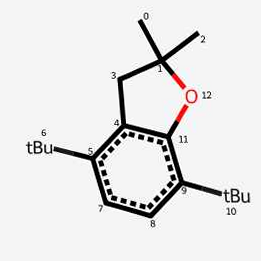 CC1(C)Cc2c(C(C)(C)C)ccc(C(C)(C)C)c2O1